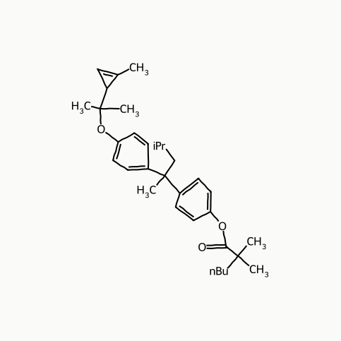 CCCCC(C)(C)C(=O)Oc1ccc(C(C)(CC(C)C)c2ccc(OC(C)(C)C3C=C3C)cc2)cc1